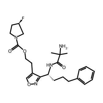 CC(C)(N)C(=O)N[C@H](CCCc1ccccc1)c1nocc1CCOC(=O)N1CC[C@@H](F)C1